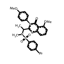 COc1ccc(-n2c(C(C)N(C)S(=O)(=O)c3ccc(C(C)C)cc3)nc3cccc(OC)c3c2=O)cc1